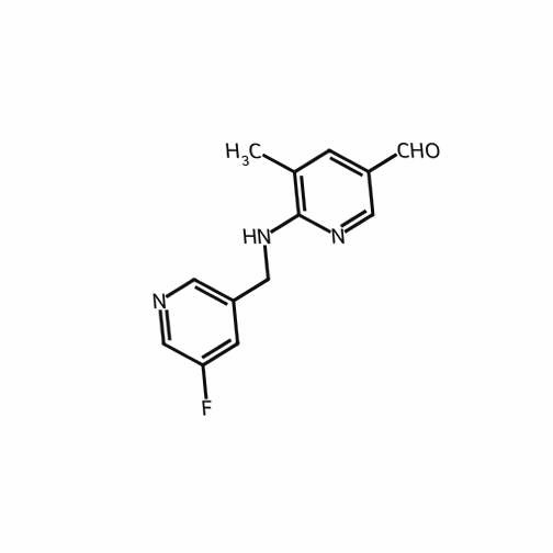 Cc1cc(C=O)cnc1NCc1cncc(F)c1